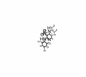 CCC(CC)Nc1c(C)cnc(Nc2c(C)cc(C)cc2C)c1[N+](=O)[O-]